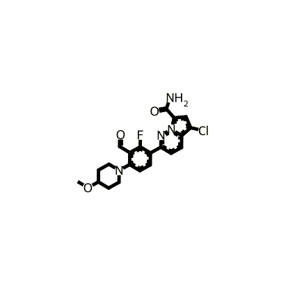 COC1CCN(c2ccc(-c3ccc4c(Cl)cc(C(N)=O)n4n3)c(F)c2C=O)CC1